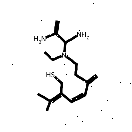 C=C(/C=C\C(CS)=C(C)C)CCN(CC)C(N)C(=C)N